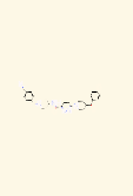 COc1ccc(C(=O)C2CCN(c3ccc(C(=O)NC4CCN(Cc5ccc(C#N)cc5)CC4)nn3)CC2)cc1